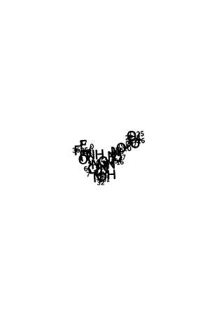 C[C@@H](NC(=O)c1ccc2c(n1)N(C(=O)Nc1ccc(OC[C@H]3COC(C)(C)O3)nn1)C1CCN2C1)C(F)(F)F